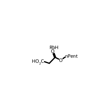 CCCCCOC(=O)CC(=O)O.[RbH]